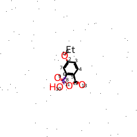 CCOc1ccc2c(c1)I(=O)(O)OC2=O